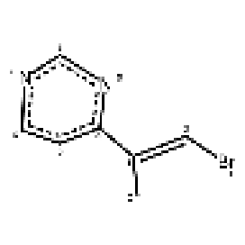 CC(=CBr)c1ccncn1